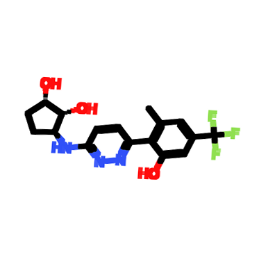 Cc1cc(C(F)(F)F)cc(O)c1-c1ccc(N[C@H]2CC[C@H](O)[C@@H]2O)nn1